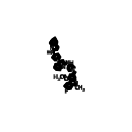 CCOc1cc(CN2CCC(Nc3cc(N4CCC(Nc5ccc6ccccc6n5)CC4)c4ccccc4n3)CC2)cc(OCC)c1-c1ccc(F)cc1